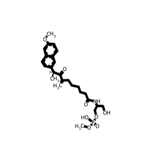 C=C(CCCCCC(=O)NC(CO)COP(=O)(O)OC)C(=O)[C@@H](C)c1ccc2cc(OC)ccc2c1